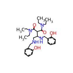 CCN(CC)C(=O)C(C(=O)N(CC)CC)C(CNCc1ccccc1O)NCc1ccccc1O